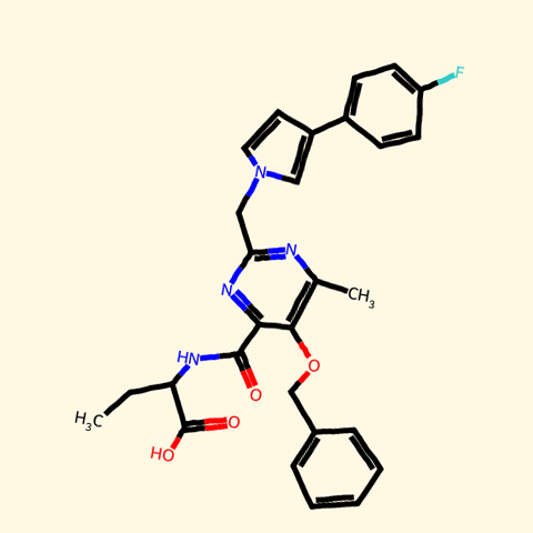 CCC(NC(=O)c1nc(Cn2ccc(-c3ccc(F)cc3)c2)nc(C)c1OCc1ccccc1)C(=O)O